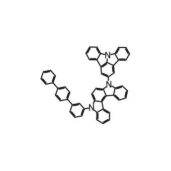 c1ccc(-c2ccc(-c3cccc(-n4c5ccccc5c5c6c7ccccc7n(-c7cc8c9ccccc9n9c%10ccccc%10c(c7)c89)c6ccc54)c3)cc2)cc1